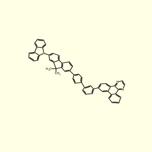 CC1(C)c2cc(-c3ccc(-c4cccc(-c5ccc6c(c5)c5ccccc5c5nccnc65)c4)cc3)ccc2-c2ccc(-n3c4ccccc4c4ccccc43)cc21